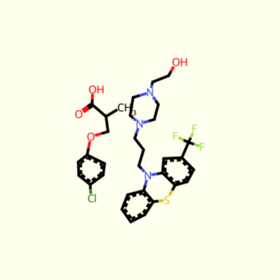 CC(COc1ccc(Cl)cc1)C(=O)O.OCCN1CCN(CCCN2c3ccccc3Sc3ccc(C(F)(F)F)cc32)CC1